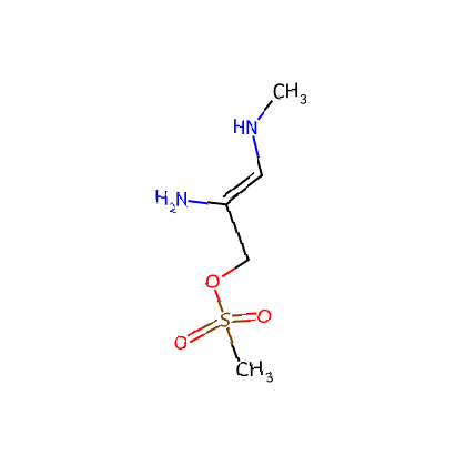 CN/C=C(\N)COS(C)(=O)=O